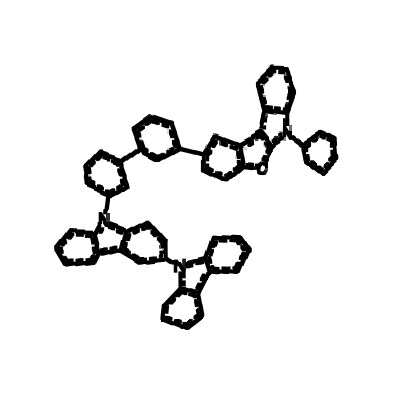 c1ccc(-n2c3ccccc3c3c4cc(-c5cccc(-c6cccc(-n7c8ccccc8c8cc(-n9c%10ccccc%10c%10ccccc%109)ccc87)c6)c5)ccc4oc32)cc1